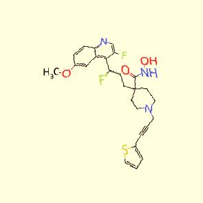 COc1ccc2ncc(F)c([C@H](F)CCC3(C(=O)NO)CCN(CC#Cc4cccs4)CC3)c2c1